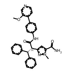 COc1cnccc1-c1ccc(NC(=O)[C@H](c2cc(C(N)=O)n(C)n2)C(c2ccccc2)c2ccccc2)cc1